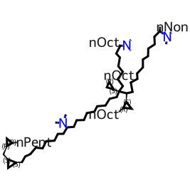 CCCCCCCCCC(CCCCCCCCCCC([C@H]1C[C@H]1CCCCCCCC)C(CCCCCCCCCC(CCCCCCCCC[C@H]1C[C@H]1C[C@H]1C[C@H]1CCCCC)N(C)C)(CCCCCCC(CCCCCCCC)N(C)C)[C@H]1C[C@H]1CCCCCCCC)N(C)C